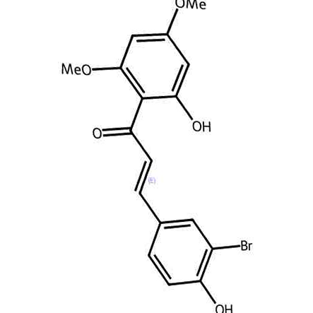 COc1cc(O)c(C(=O)/C=C/c2ccc(O)c(Br)c2)c(OC)c1